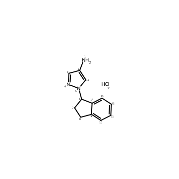 Cl.Nc1cnn(C2CCc3ccccc32)c1